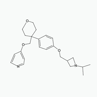 CC(C)N1CC(COc2ccc(C3(COc4ccncc4)CCOCC3)cc2)C1